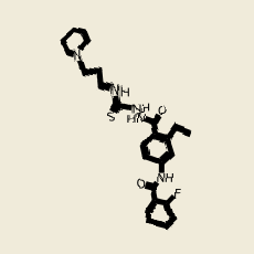 CCc1cc(NC(=O)c2ccccc2F)ccc1C(=O)NNC(=S)NCCCN1CCCCC1